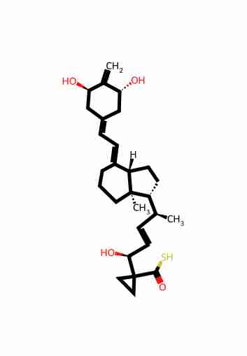 C=C1[C@H](O)CC(=C/C=C2\CCC[C@]3(C)[C@@H]([C@@H](C)/C=C/[C@H](O)C4(C(=O)S)CC4)CC[C@@H]23)C[C@H]1O